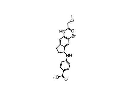 COCC(=O)Nc1cc2c(cc1Br)C(Nc1ccc(C(=O)O)cc1)CC2